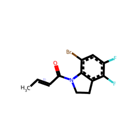 C/C=C/C(=O)N1CCc2c(F)c(F)cc(Br)c21